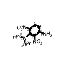 CCCN(CCC)c1c([N+](=O)[O-])ccc(N)c1[N+](=O)[O-]